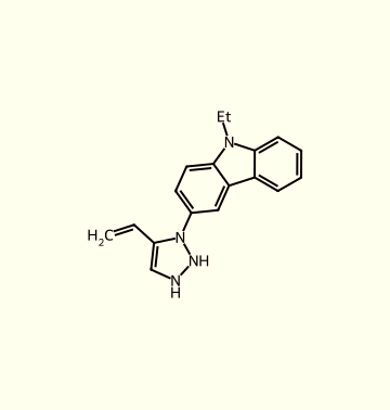 C=CC1=CNNN1c1ccc2c(c1)c1ccccc1n2CC